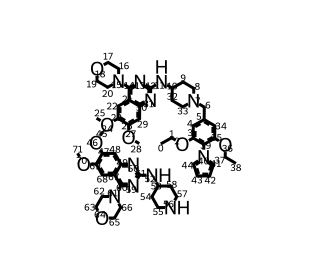 CCOc1cc(CN2CCC(Nc3nc(N4CCOCC4)c4cc(OC)c(OC)cc4n3)CC2)cc(OCC)c1-n1cccc1.COc1cc2nc(NC3CCNCC3)nc(N3CCOCC3)c2cc1OC